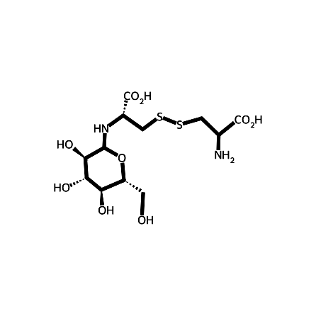 NC(CSSC[C@H](NC1O[C@H](CO)[C@@H](O)[C@H](O)[C@H]1O)C(=O)O)C(=O)O